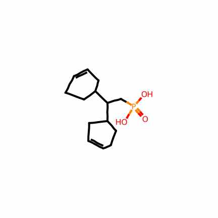 O=P(O)(O)CC(C1CC=CCC1)C1CC=CCC1